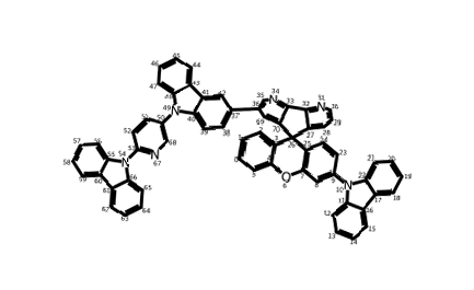 c1ccc2c(c1)Oc1cc(-n3c4ccccc4c4ccccc43)ccc1C21c2cccnc2-c2ncc(-c3ccc4c(c3)c3ccccc3n4-c3ccc(-n4c5ccccc5c5ccccc54)nc3)cc21